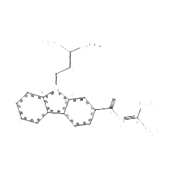 COC(C)CCn1c2ccccc2c2ccc(C(=O)N=C(N)N)cc21